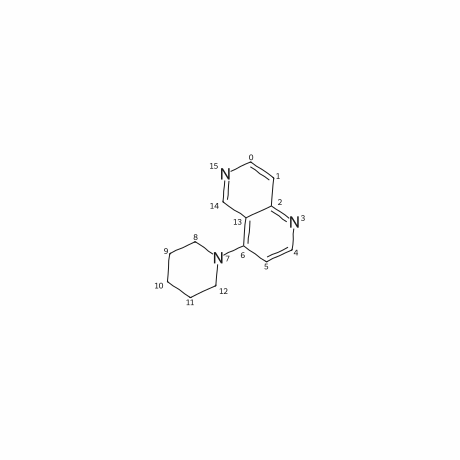 c1cc2nccc(N3CCCCC3)c2cn1